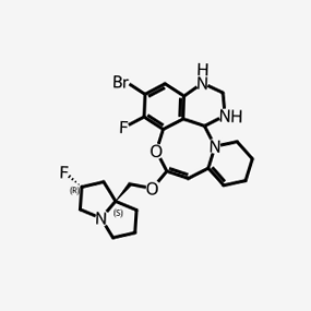 Fc1c(Br)cc2c3c1OC(OC[C@@]14CCCN1C[C@H](F)C4)=CC1=CCCCN1C3NCN2